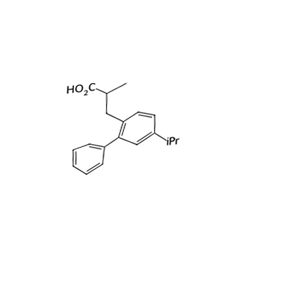 CC(Cc1ccc(C(C)C)cc1-c1ccccc1)C(=O)O